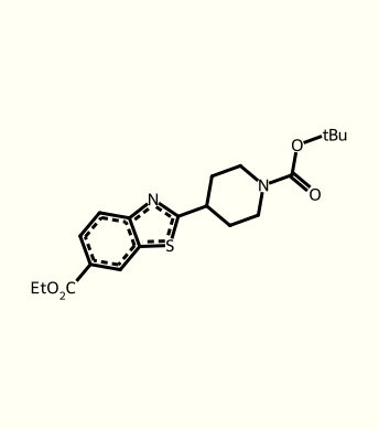 CCOC(=O)c1ccc2nc(C3CCN(C(=O)OC(C)(C)C)CC3)sc2c1